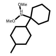 CO[SiH](OC)C1(C2CCC(C)CC2)CCCCC1